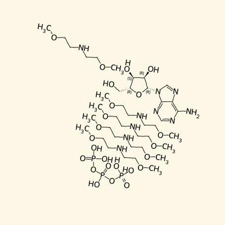 COCCNCCOC.COCCNCCOC.COCCNCCOC.COCCNCCOC.COCCNCCOC.Nc1ncnc2c1ncn2[C@@H]1O[C@H](CO)[C@@H](O)[C@H]1O.O=P(O)(O)OP(=O)(O)OP(=O)(O)O